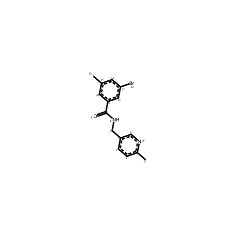 Cc1ccc(CNC(=O)c2cc(Br)cc(I)c2)cn1